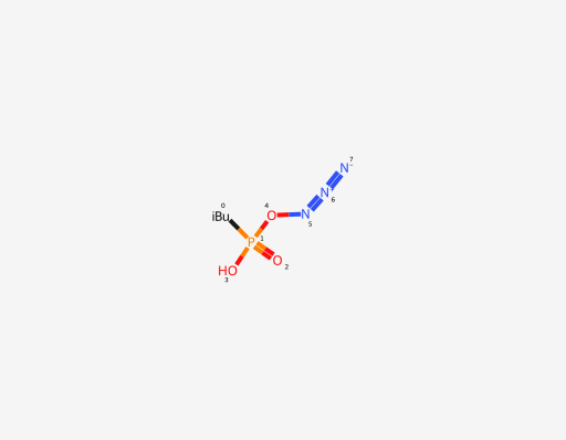 CCC(C)P(=O)(O)ON=[N+]=[N-]